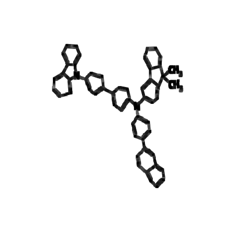 CC1(C)c2ccccc2-c2cc(N(c3ccc(-c4ccc(-n5c6ccccc6c6ccccc65)cc4)cc3)c3ccc(-c4ccc5ccccc5c4)cc3)ccc21